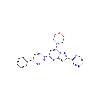 N=C(/C=C\Nc1cc(N2CCOCC2)n2nc(-c3cnccn3)cc2n1)c1ccccc1